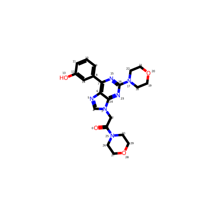 O=C(Cn1cnc2c(-c3cccc(O)c3)nc(N3CCOCC3)nc21)N1CCOCC1